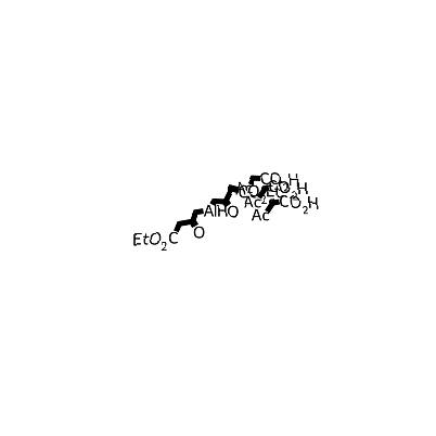 CC(=O)CC(=O)O.CC(=O)CC(=O)O.CC(=O)CC(=O)O.CCOC(=O)CC(=O)[CH2][AlH][CH2]C(=O)CC(=O)OCC